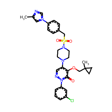 Cc1cn(-c2ccc(CS(=O)(=O)N3CCN(c4cnn(-c5cccc(Cl)c5)c(=O)c4OCC4(C)CC4)CC3)cc2)cn1